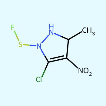 CC1NN(SF)C(Cl)=C1[N+](=O)[O-]